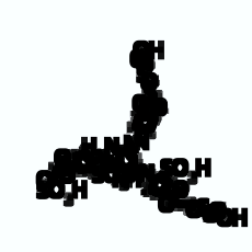 Nc1c(/N=N/c2ccc(S(=O)(=O)CCOSOOO)cc2)cc(/N=N/c2ccc(S(=O)(=O)CCOSOOO)cc2S(=O)(=O)O)c(N)c1/N=N/c1ccc(S(=O)(=O)CCOS(=O)(=O)O)cc1S(=O)(=O)O